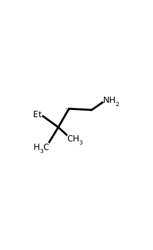 CCC(C)(C)[CH]CN